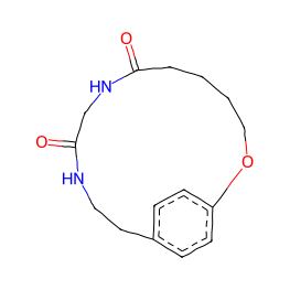 O=C1CCCCOc2ccc(cc2)CCNC(=O)CN1